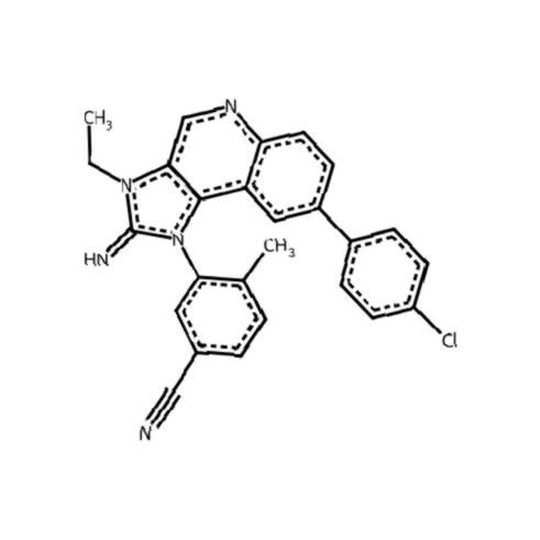 CCn1c(=N)n(-c2cc(C#N)ccc2C)c2c3cc(-c4ccc(Cl)cc4)ccc3ncc21